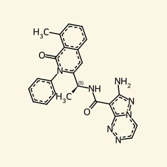 Cc1cccc2cc([C@H](C)NC(=O)c3c(N)nn4ccnnc34)n(-c3ccccc3)c(=O)c12